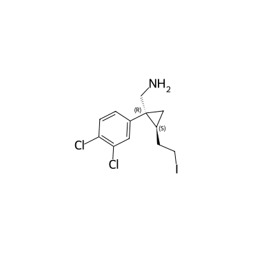 NC[C@]1(c2ccc(Cl)c(Cl)c2)C[C@H]1CCI